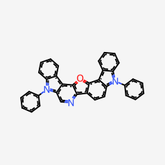 c1ccc(-n2c3ccccc3c3c4oc5c(ncc6c5c5ccccc5n6-c5ccccc5)c4ccc32)cc1